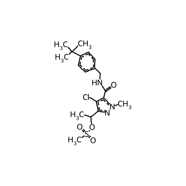 CC(OS(C)(=O)=O)c1nn(C)c(C(=O)NCc2ccc(C(C)(C)C)cc2)c1Cl